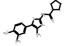 Cc1ccc(-c2sc(NC(=O)C3CCCC3)nc2C)cc1N